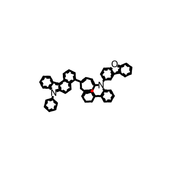 C1#CC(N(c2ccc3oc4ccccc4c3c2)c2ccccc2C2=CC=CCC2)=CC=C(c2cccc3c2ccc2c3c3ccccc3n2-c2ccccc2)C1